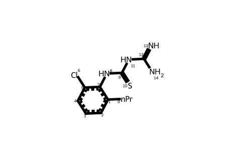 CCCc1cccc(Cl)c1NC(=S)NC(=N)N